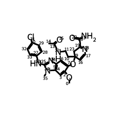 COc1cc2c(cc1OC1(CCNC(C)=O)C=CN=C(C(N)=O)C1)nc(Nc1ccc(Cl)cc1)n2C